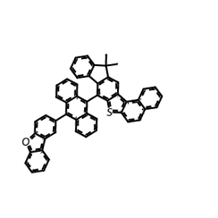 CC1(C)c2ccccc2-c2c1cc1c(sc3ccc4ccccc4c31)c2-c1c2ccccc2c(-c2ccc3oc4ccccc4c3c2)c2ccccc12